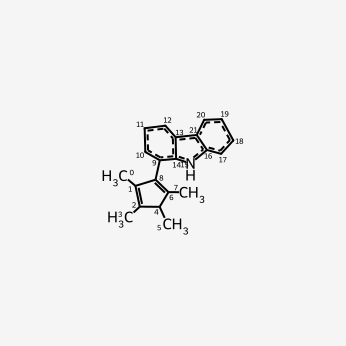 CC1=C(C)C(C)C(C)=C1c1cccc2c1[nH]c1ccccc12